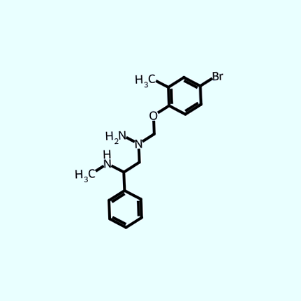 CNC(CN(N)COc1ccc(Br)cc1C)c1ccccc1